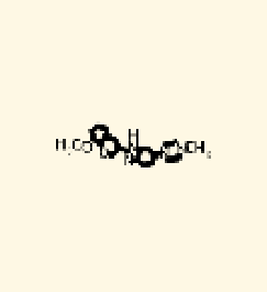 COc1cccc2c1OCC(c1nc3ccc(N4CCN(C)CC4)cc3[nH]1)=C2